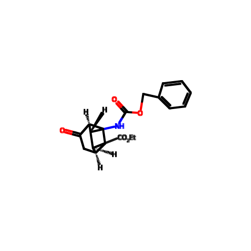 CCOC(=O)[C@H]1[C@H]2CC[C@H](C(=O)C2)[C@@H]1NC(=O)OCc1ccccc1